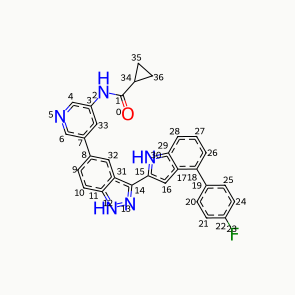 O=C(Nc1cncc(-c2ccc3[nH]nc(-c4cc5c(-c6ccc(F)cc6)cccc5[nH]4)c3c2)c1)C1CC1